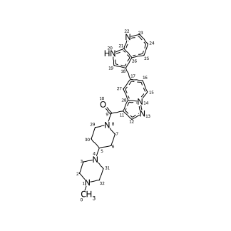 CN1CCN(C2CCN(C(=O)c3cnn4ccc(-c5c[nH]c6ncccc56)cc34)CC2)CC1